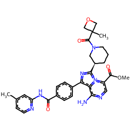 COC(=O)c1cnc(N)c2c(-c3ccc(C(=O)Nc4cc(C)ccn4)cc3)nc([C@@H]3CCCN(C(=O)C4(C)COC4)C3)n12